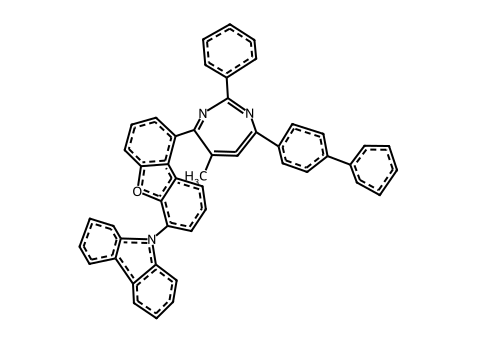 CC1=C=C(c2ccc(-c3ccccc3)cc2)N=C(c2ccccc2)N=C1c1cccc2oc3c(-n4c5ccccc5c5ccccc54)cccc3c12